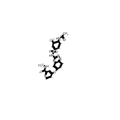 CNC(=O)c1cc(Oc2ccc3nnc(NS(=O)(=O)c4ccc(NC(C)=O)c(Cl)c4)nc3c2)ccn1